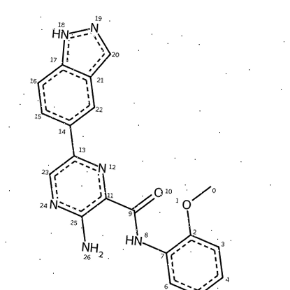 COc1ccccc1NC(=O)c1nc(-c2ccc3[nH]ncc3c2)cnc1N